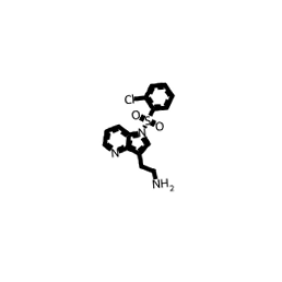 NCCc1cn(S(=O)(=O)c2ccccc2Cl)c2cccnc12